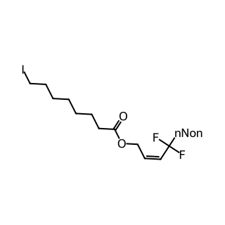 CCCCCCCCCC(F)(F)/C=C\COC(=O)CCCCCCCI